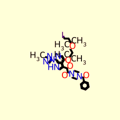 Cc1ncn(-c2ncc(OC(C)(C)CCOC(C)(C)CCI)c3c(C(=O)C(=O)N4CCN(C(=O)c5ccccc5)CC4)c[nH]c23)n1